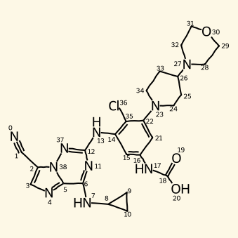 N#Cc1cnc2c(NC3CC3)nc(Nc3cc(NC(=O)O)cc(N4CCC(N5CCOCC5)CC4)c3Cl)nn12